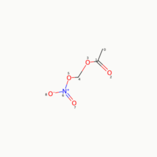 CC(=O)OCO[N+](=O)[O-]